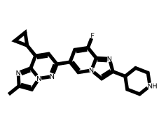 Cc1cn2nc(-c3cc(F)c4nc(C5CCNCC5)cn4c3)cc(C3CC3)c2n1